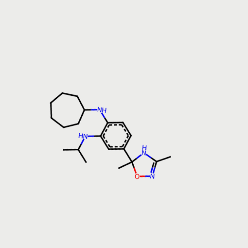 CC1=NOC(C)(c2ccc(NC3CCCCCC3)c(NC(C)C)c2)N1